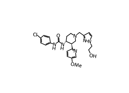 COc1ccc([C@@H]2CN(Cc3ccn(CCO)n3)CC[C@H]2NC(=O)Nc2ccc(Cl)cc2)nc1